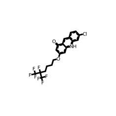 O=c1cc(OCCCCC(F)(C(F)(F)F)C(F)(F)F)cc2[nH]c3cc(Cl)ccc3cc1-2